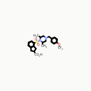 CC1CN(Cc2ccc(OC(F)(F)F)cc2)CC(C)N1S(=O)(=O)c1cccc2c1CC(C(=O)O)C2